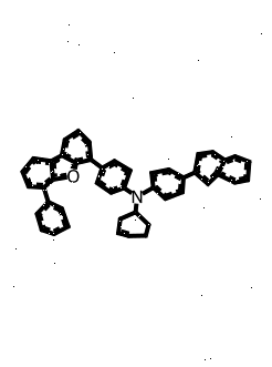 C1=CCC(N(c2ccc(-c3ccc4ccccc4c3)cc2)c2ccc(-c3cccc4c3oc3c(-c5ccccc5)cccc34)cc2)CC1